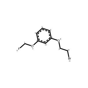 FCOc1cccc(OCCBr)c1